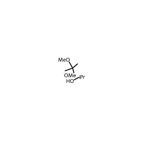 CC(C)O.COC(C)(C)OC